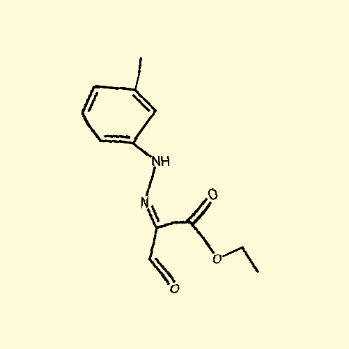 CCOC(=O)C(C=O)=NNc1cccc(C)c1